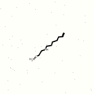 C=CCCCCCPCCCN